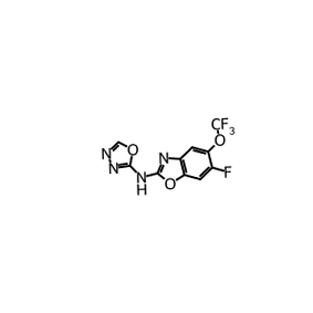 Fc1cc2oc(Nc3nnco3)nc2cc1OC(F)(F)F